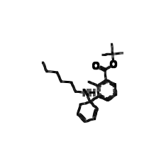 CCCCCCNC1(c2cccc(C(=O)OC(C)(C)C)c2C)C=CC=CC1